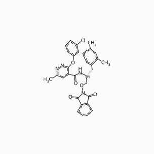 Cc1ccc(C[C@H](CON2C(=O)c3ccccc3C2=O)NC(=O)c2cc(C)nnc2Oc2cccc(Cl)c2)c(C)c1